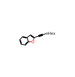 CCCCCCC#Cc1cc2ccccc2o1